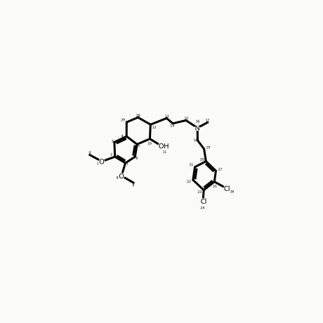 COc1cc2c(cc1OC)C(O)C(CCCN(C)CCc1ccc(Cl)c(Cl)c1)CC2